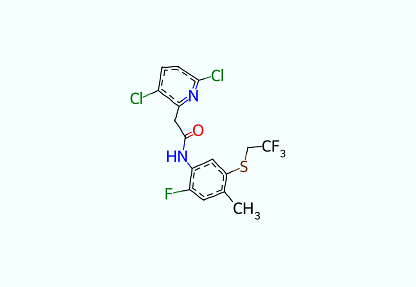 Cc1cc(F)c(NC(=O)Cc2nc(Cl)ccc2Cl)cc1SCC(F)(F)F